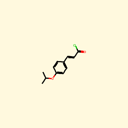 CC(C)Oc1ccc(/C=C/C(=O)Cl)cc1